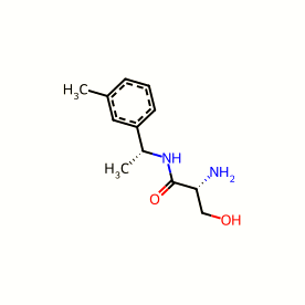 Cc1cccc([C@@H](C)NC(=O)[C@H](N)CO)c1